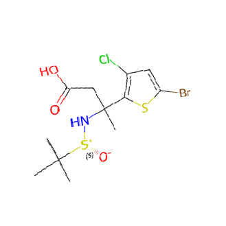 CC(CC(=O)O)(N[S@+]([O-])C(C)(C)C)c1sc(Br)cc1Cl